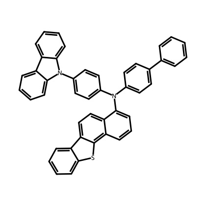 c1ccc(-c2ccc(N(c3ccc(-n4c5ccccc5c5ccccc54)cc3)c3cccc4c3ccc3c5ccccc5sc43)cc2)cc1